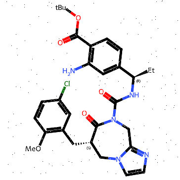 CC[C@@H](NC(=O)N1Cc2nccn2C[C@H](Cc2cc(Cl)ccc2OC)C1=O)c1ccc(C(=O)OC(C)(C)C)c(N)c1